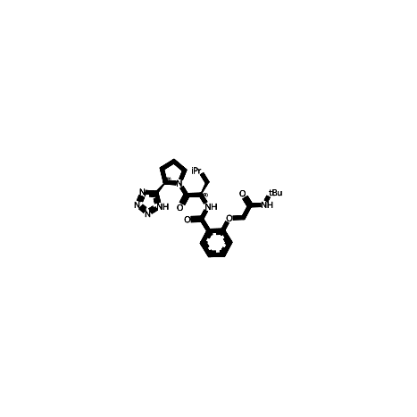 CC(C)C[C@@H](NC(=O)c1ccccc1OCC(=O)NC(C)(C)C)C(=O)N1CCC[C@@H]1c1nnn[nH]1